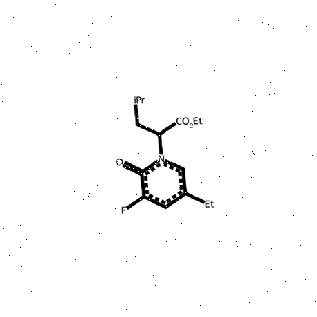 CCOC(=O)C(CC(C)C)n1cc(CC)cc(F)c1=O